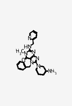 Cn1c(NCc2ccccn2)nc2nc(N3CCCC(N)C3)n(Cc3ccccc3)c2c1=O